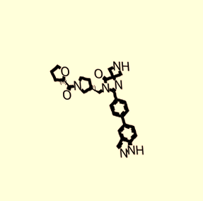 O=C([C@H]1CCCO1)N1CC[C@@H](CN2C(=O)C3(CNC3)N=C2c2ccc(-c3ccc4[nH]ncc4c3)cc2)C1